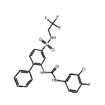 O=C(Nc1ccc(F)c(Cl)c1)Nc1cc(S(=O)(=O)NCC(F)(F)F)ccc1-c1ccccc1